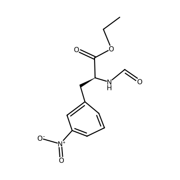 CCOC(=O)[C@H](Cc1cccc([N+](=O)[O-])c1)NC=O